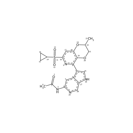 CC(=O)Nc1cc2c(-c3nc(S(=O)(=O)C4CC4)cc4c3OCC(C)O4)c[nH]c2cn1